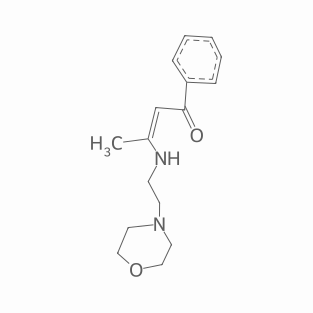 C/C(=C/C(=O)c1ccccc1)NCCN1CCOCC1